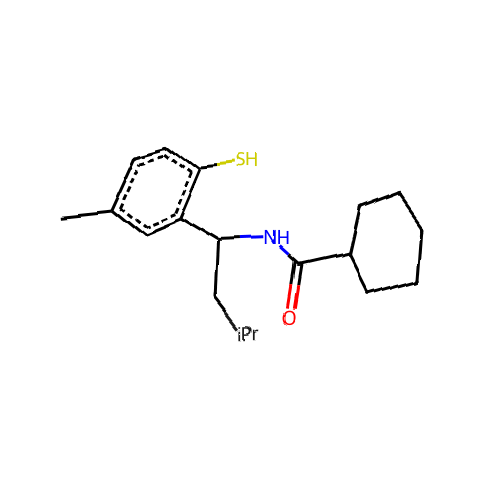 Cc1ccc(S)c(C(CC(C)C)NC(=O)C2CCCCC2)c1